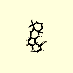 CC1(C)CCCC2(C)Oc3c(ccc4occc(=O)c34)CC12